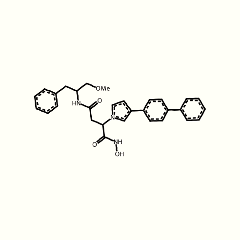 COCC(Cc1ccccc1)NC(=O)CC(C(=O)NO)n1ccc(-c2ccc(-c3ccccc3)cc2)c1